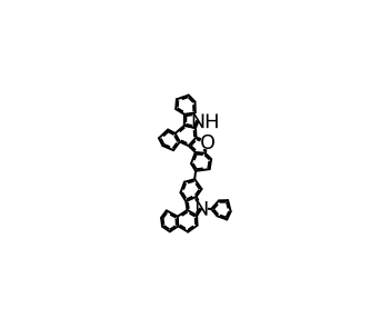 c1ccc(-n2c3cc(-c4ccc5oc6c7[nH]c8ccccc8c7c7ccccc7c6c5c4)ccc3c3c4ccccc4ccc32)cc1